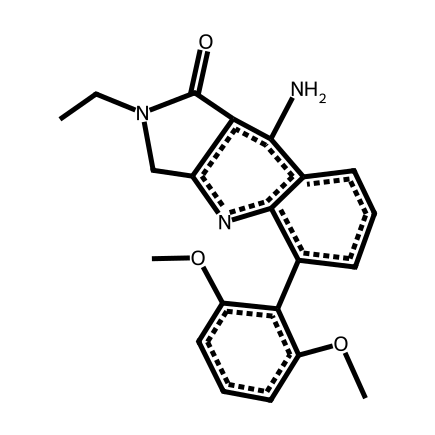 CCN1Cc2nc3c(-c4c(OC)cccc4OC)cccc3c(N)c2C1=O